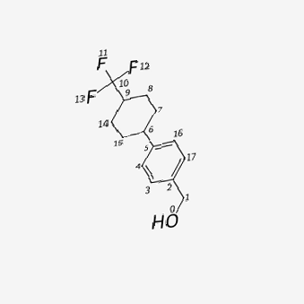 OCc1ccc(C2CCC(C(F)(F)F)CC2)cc1